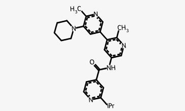 Cc1ncc(NC(=O)c2ccnc(C(C)C)c2)cc1-c1cnc(C)c(N2CCCCC2)c1